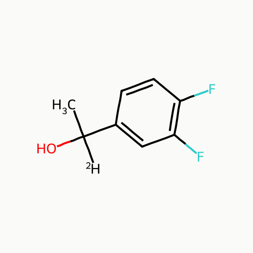 [2H]C(C)(O)c1ccc(F)c(F)c1